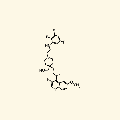 COc1ccc2ncc(F)c([C@@H](F)CCC3(CO)CCN(CCNc4cc(F)cc(F)c4F)CC3)c2c1